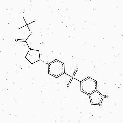 CC(C)(C)OC(=O)N1CC[C@@H](c2ccc(S(=O)(=O)c3ccc4[nH]ncc4c3)cc2)C1